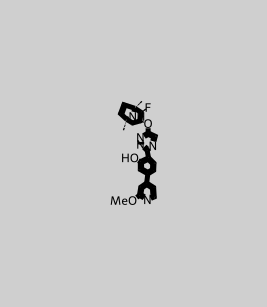 COc1cc(-c2ccc(-c3ncc(O[C@@H]4C[C@@]5(C)C=C[C@](C)(N5)[C@@H]4F)nn3)c(O)c2)ccn1